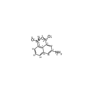 Nc1cc([N+](=O)[O-])c2c([N+](=O)[O-])cccc2c1